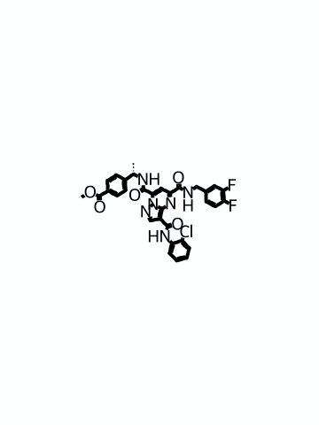 COC(=O)c1ccc([C@H](C)NC(=O)c2cc(C(=O)NCc3ccc(F)c(F)c3)nc3c(C(=O)Nc4ccccc4Cl)cnn23)cc1